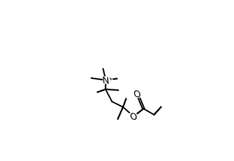 CCC(=O)OC(C)(C)CC(C)(C)[N+](C)(C)C